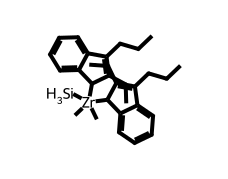 CCCC1=C(CC)[CH]([Zr]([CH3])([CH3])([SiH3])[CH]2C(CC)=C(CCC)c3ccccc32)c2ccccc21